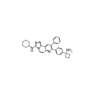 NC1(c2ccc(-c3nc4ccn5c(NC6CCCCC6)nnc5c4cc3-c3ccccc3)cc2)CCC1